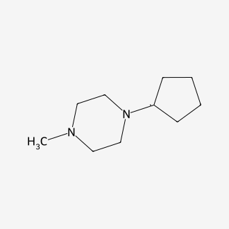 CN1CCN([C]2CCCC2)CC1